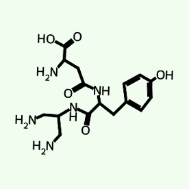 NCC(CN)NC(=O)C(Cc1ccc(O)cc1)NC(=O)CC(N)C(=O)O